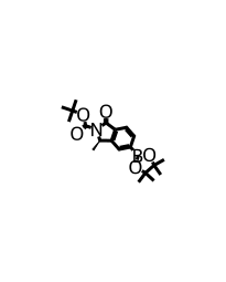 C[C@@H]1c2cc(B3OC(C)(C)C(C)(C)O3)ccc2C(=O)N1C(=O)OC(C)(C)C